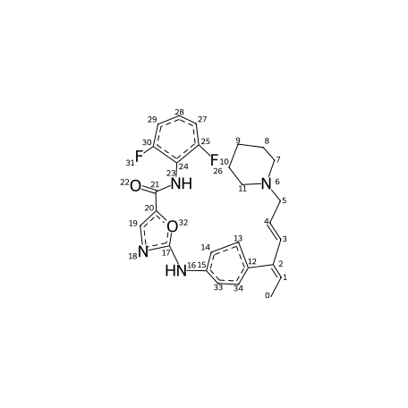 C/C=C(/C=C/CN1CCCCC1)c1ccc(Nc2ncc(C(=O)Nc3c(F)cccc3F)o2)cc1